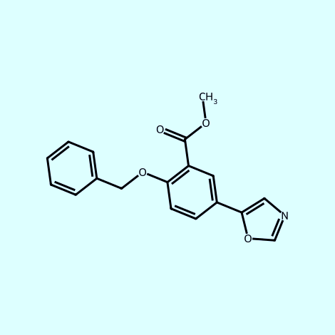 COC(=O)c1cc(-c2cnco2)ccc1OCc1ccccc1